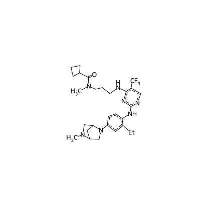 CCc1cc(N2CC3CC2CN3C)ccc1Nc1ncc(C(F)(F)F)c(NCCCN(C)C(=O)C2CCC2)n1